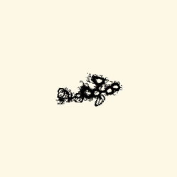 O=C1C(c2ccc3ccccc3c2)=C(c2ccccc2)c2ccc(OCCN3CCOCC3)cc21